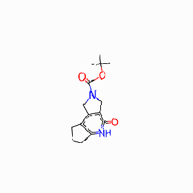 CC(C)(C)OC(=O)N1Cc2c3c([nH]c(=O)c2C1)CCC3